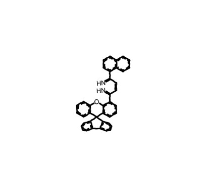 N=C(/C=C\C(=N)c1cccc2ccccc12)c1cccc2c1Oc1ccccc1C21c2ccccc2-c2ccccc21